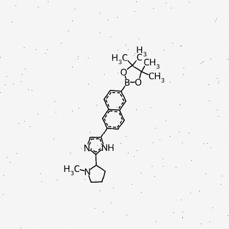 CN1CCCC1c1ncc(-c2ccc3cc(B4OC(C)(C)C(C)(C)O4)ccc3c2)[nH]1